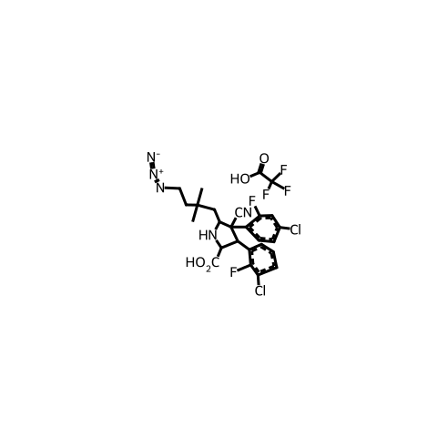 CC(C)(CCN=[N+]=[N-])CC1NC(C(=O)O)C(c2cccc(Cl)c2F)C1(C#N)c1ccc(Cl)cc1F.O=C(O)C(F)(F)F